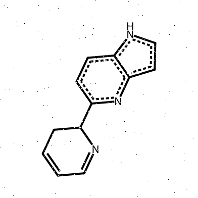 C1=CCC(c2ccc3[nH]ccc3n2)N=C1